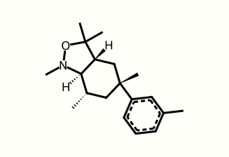 Cc1cccc([C@@]2(C)C[C@@H]3[C@@H]([C@@H](C)C2)N(C)OC3(C)C)c1